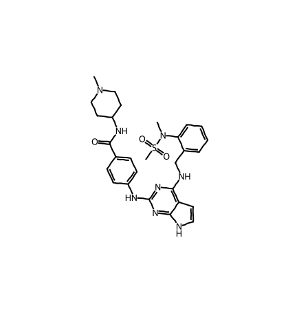 CN1CCC(NC(=O)c2ccc(Nc3nc(NCc4ccccc4N(C)S(C)(=O)=O)c4cc[nH]c4n3)cc2)CC1